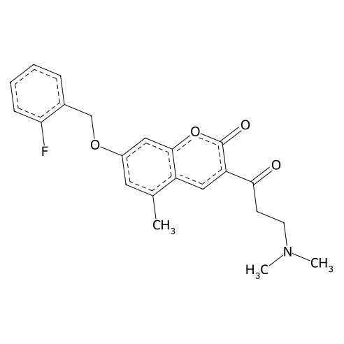 Cc1cc(OCc2ccccc2F)cc2oc(=O)c(C(=O)CCN(C)C)cc12